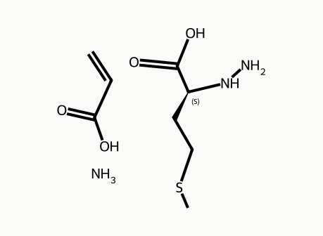 C=CC(=O)O.CSCC[C@H](NN)C(=O)O.N